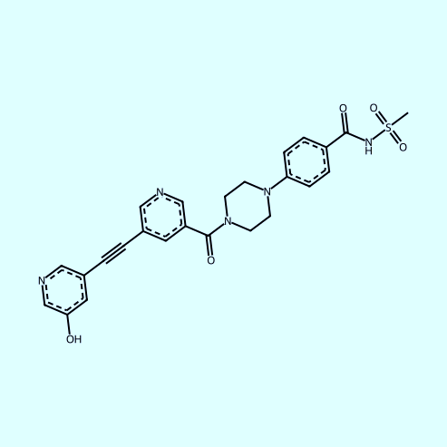 CS(=O)(=O)NC(=O)c1ccc(N2CCN(C(=O)c3cncc(C#Cc4cncc(O)c4)c3)CC2)cc1